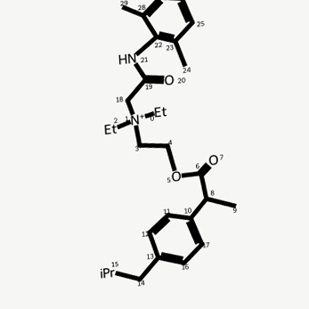 CC[N+](CC)(CCOC(=O)C(C)c1ccc(CC(C)C)cc1)CC(=O)Nc1c(C)cccc1C